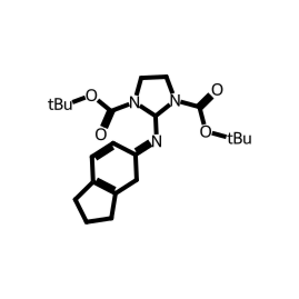 CC(C)(C)OC(=O)N1CCN(C(=O)OC(C)(C)C)C1N=C1C=CC2=C(CCC2)C1